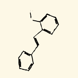 CCC(C)Oc1ccccc1C=Cc1ccccc1